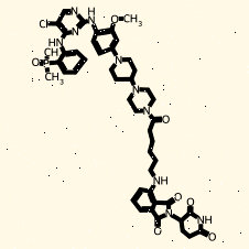 COc1cc(N2CCC(N3CCN(C(=O)CCCCCNc4cccc5c4C(=O)N(C4CCC(=O)NC4=O)C5=O)CC3)CC2)ccc1Nc1ncc(Cl)c(Nc2ccccc2P(C)(C)=O)n1